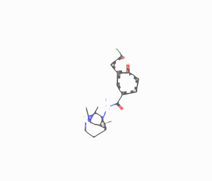 CC1(C)[C@H](NC(=O)c2ccc3oc(Cl)cc3c2)C2CCN1CC2.Cl